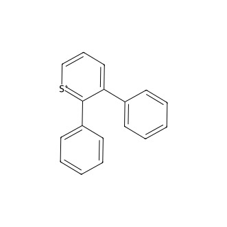 c1ccc(-c2ccc[s+]c2-c2ccccc2)cc1